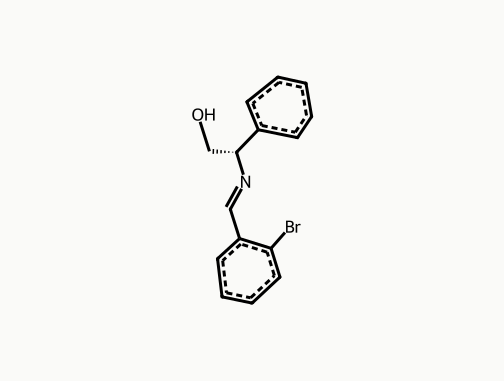 OC[C@@H](N=Cc1ccccc1Br)c1ccccc1